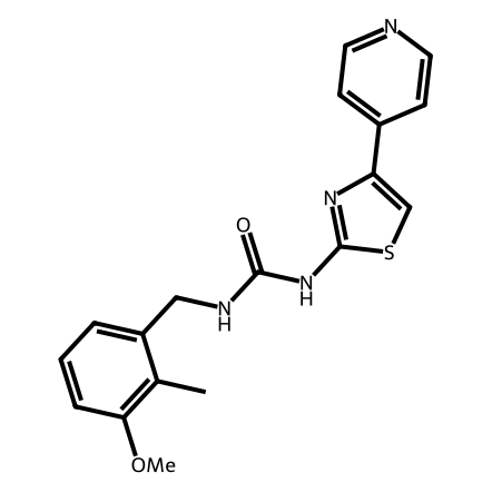 COc1cccc(CNC(=O)Nc2nc(-c3ccncc3)cs2)c1C